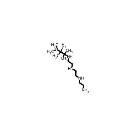 CN(C)C(C)(C)C(C)(C)NCCNCCNCCN